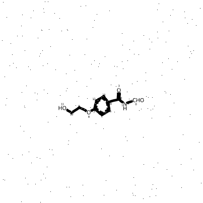 O=CNC(=O)c1ccc(OCCO)cc1